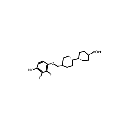 CCCCCCCC[C@H]1CC[C@H]([C@H]2CC[C@H](COc3ccc(C#N)c(F)c3F)CC2)CC1